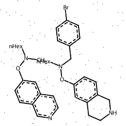 CCCCCCN(C)Oc1ccc2cnccc2c1.CCCCCCN(Cc1ccc(Br)cc1)Oc1ccc2c(c1)CCNC2